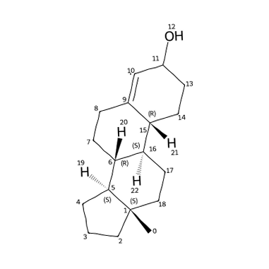 C[C@@]12CCC[C@H]1[C@@H]1CCC3=[C]C(O)CC[C@@H]3[C@H]1CC2